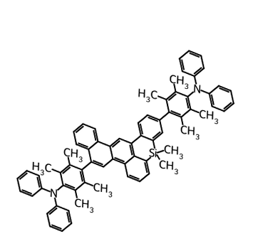 Cc1c(C)c(N(c2ccccc2)c2ccccc2)c(C)c(C)c1-c1ccc2c(c1)[Si](C)(C)c1cccc3c1c-2cc1c2ccccc2c(-c2c(C)c(C)c(N(c4ccccc4)c4ccccc4)c(C)c2C)cc31